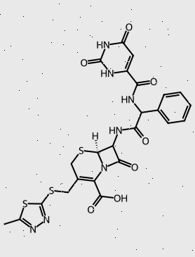 Cc1nnc(SCC2=C(C(=O)O)N3C(=O)C(NC(=O)C(NC(=O)c4cc(=O)[nH]c(=O)[nH]4)c4ccccc4)[C@@H]3SC2)s1